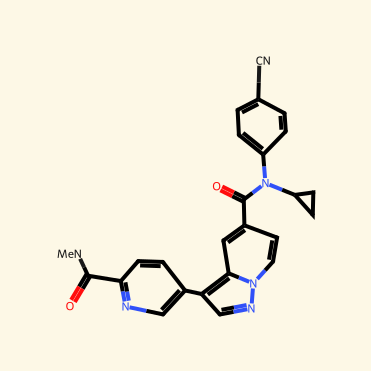 CNC(=O)c1ccc(-c2cnn3ccc(C(=O)N(c4ccc(C#N)cc4)C4CC4)cc23)cn1